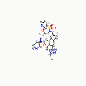 CCC1CN(Cc2cc(C(CC(=O)Nc3ccc(C)nc3)c3ccc4c(nnn4CC)c3C)ccc2C)S(O)(O)c2cccnc2O1